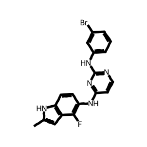 Cc1cc2c(F)c(Nc3ccnc(Nc4cccc(Br)c4)n3)ccc2[nH]1